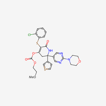 COCCOC(=O)OC1=C(Sc2ccccc2Cl)C(=O)NC(c2cnc(N3CCOCC3)nc2)(c2ccsc2)C1